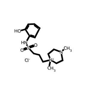 CN1CC[N+](C)(CCCS(=O)(=O)Nc2ccccc2O)CC1.[Cl-]